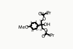 COc1ccc(C(O)(COC(=O)C(C)C)COC(=O)C(C)C)cc1